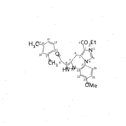 CCOC(=O)c1ncn2c1Cc1c(COc3ccc(C)cc3C)[nH]n1-c1cc(OC)ccc1-2